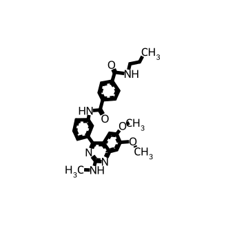 CCCNC(=O)c1ccc(C(=O)Nc2cccc(-c3nc(NC)nc4cc(OC)c(OC)cc34)c2)cc1